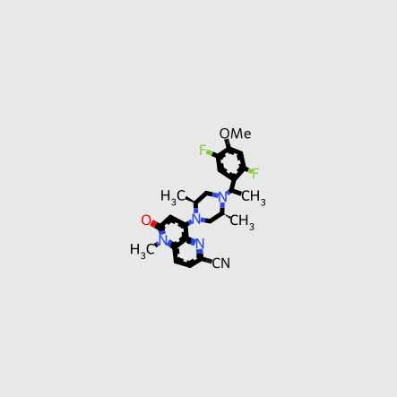 COc1cc(F)c(C(C)N2C[C@H](C)N(c3cc(=O)n(C)c4ccc(C#N)nc34)C[C@H]2C)cc1F